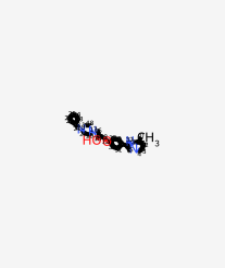 Cc1cccn2cc(-c3ccc(OCC(O)CN4CCN(Cc5ccccc5)CC4)cc3)nc12